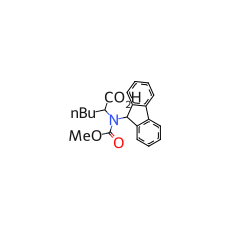 CCCCC(C(=O)O)N(C(=O)OC)C1c2ccccc2-c2ccccc21